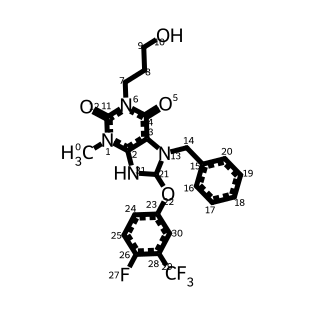 Cn1c2c(c(=O)n(CCCO)c1=O)N(Cc1ccccc1)C(Oc1ccc(F)c(C(F)(F)F)c1)N2